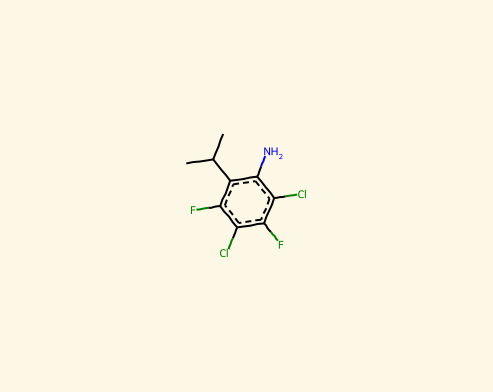 CC(C)c1c(N)c(Cl)c(F)c(Cl)c1F